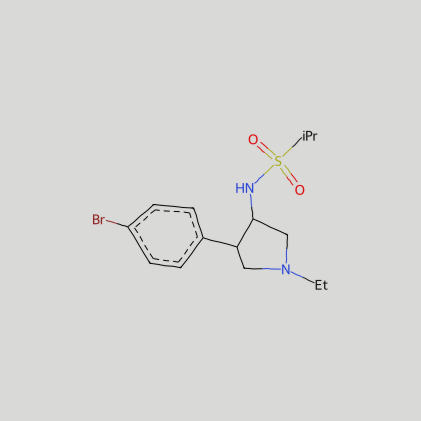 CCN1CC(NS(=O)(=O)C(C)C)C(c2ccc(Br)cc2)C1